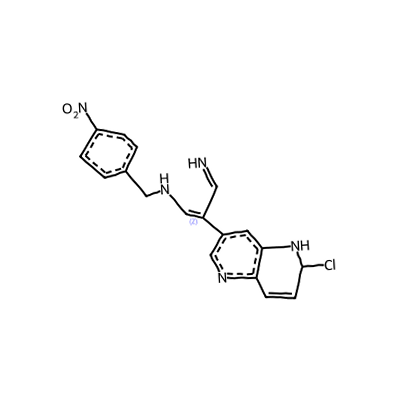 N=C/C(=C\NCc1ccc([N+](=O)[O-])cc1)c1cnc2c(c1)NC(Cl)C=C2